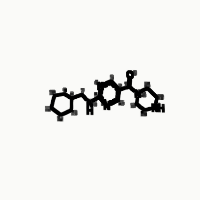 O=C(c1cnc(NCC2CCCCC2)nc1)N1CCNCC1